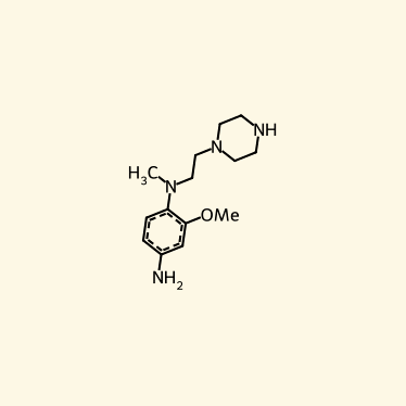 COc1cc(N)ccc1N(C)CCN1CCNCC1